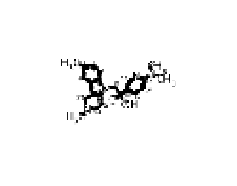 Cc1ccc2c(c1)c1c(n2CC(C)(O)c2ccc(N(C)C)nc2)CCN(C)C1